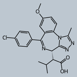 COc1ccc2c(c1)C(c1ccc(Cl)cc1)=N[C@@H](C(C(=O)O)C(C)C)c1nnc(C)n1-2